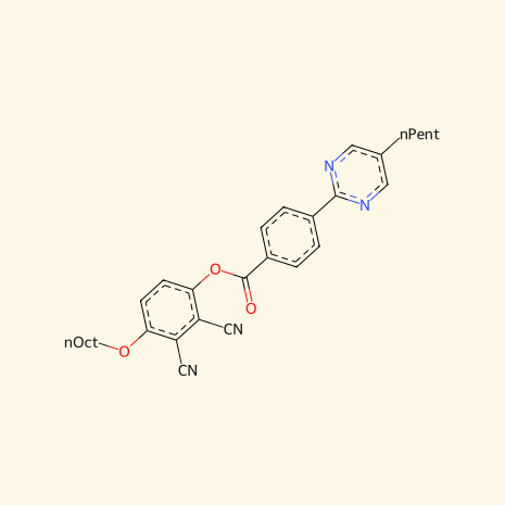 CCCCCCCCOc1ccc(OC(=O)c2ccc(-c3ncc(CCCCC)cn3)cc2)c(C#N)c1C#N